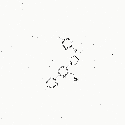 Cc1ccc(OC2CCN(c3ccc(-c4ccccn4)nc3CO)C2)nc1